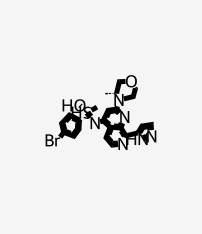 C[C@@H]1COCCN1c1cc(N=[SH](C)(O)c2ccc(Br)cc2)c2ccnc(-c3ccn[nH]3)c2n1